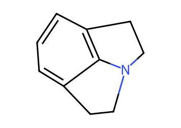 c1cc2c3c(c1)CCN3CC2